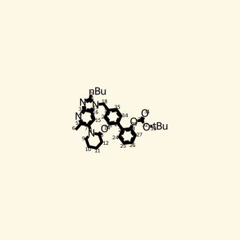 CCCCc1nc2nc(C)c(N3CCCCC3=O)cc2n1Cc1ccc(-c2ccccc2OC(=O)OC(C)(C)C)cc1